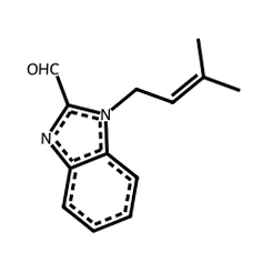 CC(C)=CCn1c(C=O)nc2ccccc21